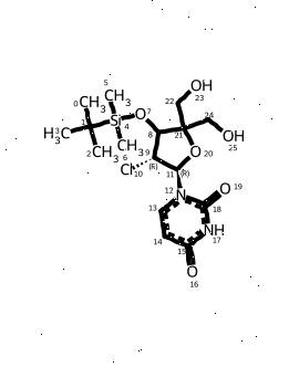 CC(C)(C)[Si](C)(C)OC1[C@@H](Cl)[C@H](n2ccc(=O)[nH]c2=O)OC1(CO)CO